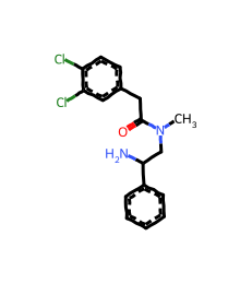 CN(CC(N)c1ccccc1)C(=O)Cc1ccc(Cl)c(Cl)c1